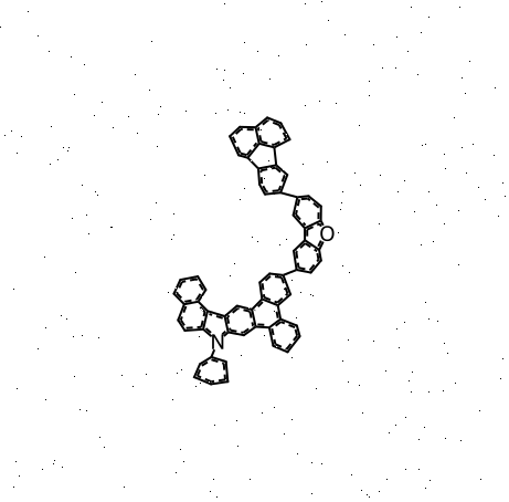 c1ccc(-n2c3cc4c5ccccc5c5cc(-c6ccc7oc8ccc(-c9ccc%10c(c9)-c9cccc%11cccc-%10c9%11)cc8c7c6)ccc5c4cc3c3c4ccccc4ccc32)cc1